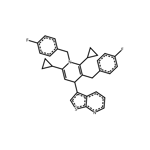 Fc1ccc(CC2=C(C3CC3)N(Cc3ccc(F)cc3)C(C3CC3)=CC2c2csc3ncccc23)cc1